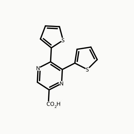 O=C(O)c1cnc(-c2cccs2)c(-c2cccs2)n1